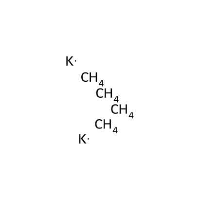 C.C.C.C.[K].[K]